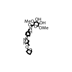 CO[C@@H]1OC(C(=O)NCc2ccc(-n3cc(COC4CCCCO4)nn3)cc2)[C@@H](OC)[C@H](O)[C@@H]1O